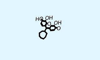 O=c1ccc2c(C3CCCCCCC3)c3ccc(O)c(O)c3oc-2c1O